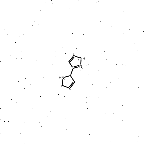 C1=CC(c2cc[nH]n2)NC1